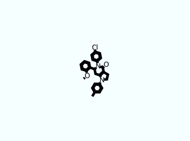 COc1ccccc1C1CC2=C(CCN2c2ccc(C)cc2)C(=O)N1c1ccc(Cl)cc1